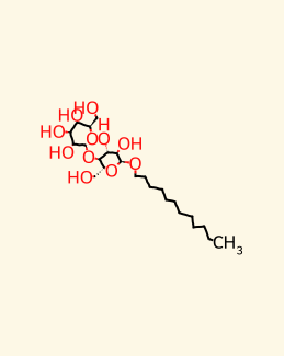 CCCCCCCCCCCCO[C@H]1O[C@H](CO)[C@@H](O[C@@H]2O[C@H](CO)[C@@H](O)[C@H](O)[C@H]2O)[C@H](O)[C@H]1O